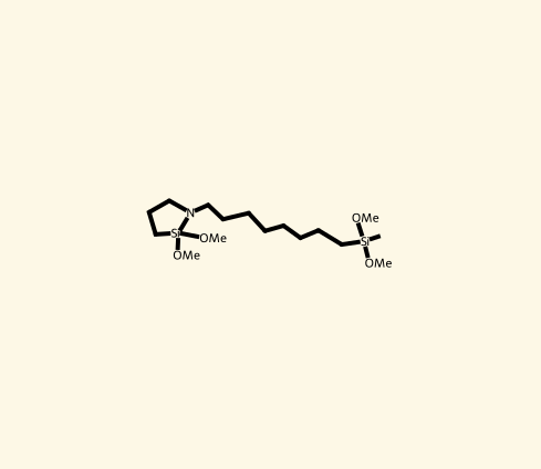 CO[Si](C)(CCCCCCCCN1CCC[Si]1(OC)OC)OC